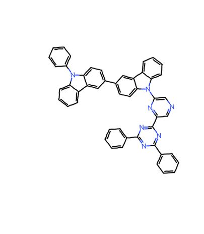 c1ccc(-c2nc(-c3ccccc3)nc(-c3cncc(-n4c5ccccc5c5cc(-c6ccc7c(c6)c6ccccc6n7-c6ccccc6)ccc54)n3)n2)cc1